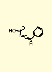 O=C(O)N=C=[SH]c1ccccc1